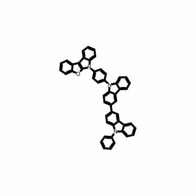 c1ccc(-n2c3ccccc3c3cc(-c4ccc5c(c4)c4ccccc4n5-c4ccc(-n5c6ccccc6c6c7ccccc7oc65)cc4)ccc32)cc1